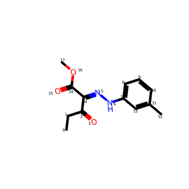 CCC(=O)/C(=N\Nc1cccc(C)c1)C(=O)OC